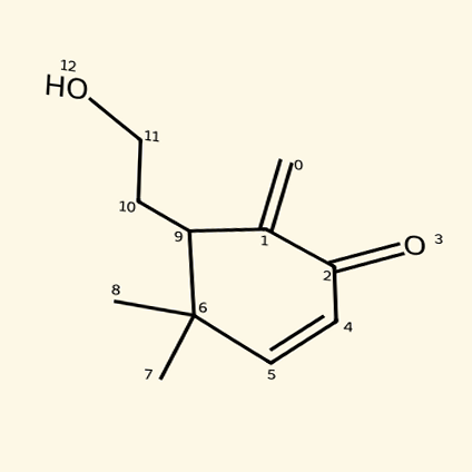 C=C1C(=O)C=CC(C)(C)C1CCO